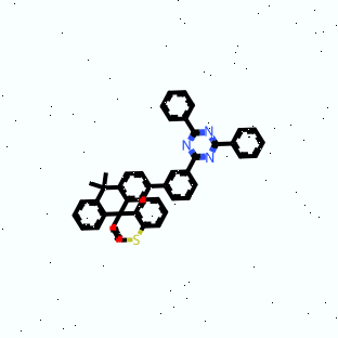 CC1(C)c2ccccc2C2(c3ccccc3Sc3ccccc32)c2cc(-c3cccc(-c4nc(-c5ccccc5)nc(-c5ccccc5)n4)c3)ccc21